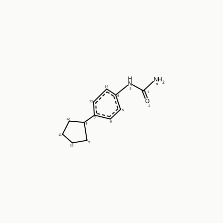 NC(=O)Nc1ccc(C2CCCC2)cc1